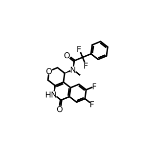 CN(C(=O)C(F)(F)c1ccccc1)[C@@H]1COCc2[nH]c(=O)c3cc(F)c(F)cc3c21